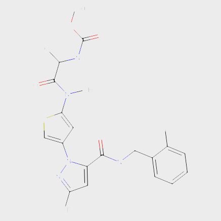 Cc1ccccc1CNC(=O)c1cc(C(F)(F)F)nn1-c1csc(N(C)C(=O)C(C)NC(=O)OC(C)(C)C)c1